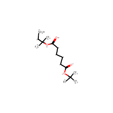 CCC(OC(=O)CCCCC(=O)OC(CS(=O)(=O)O)(C(F)(F)F)C(F)(F)F)(C(F)(F)F)C(F)(F)F